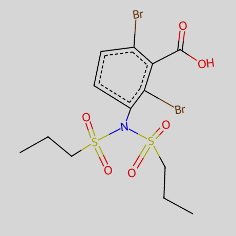 CCCS(=O)(=O)N(c1ccc(Br)c(C(=O)O)c1Br)S(=O)(=O)CCC